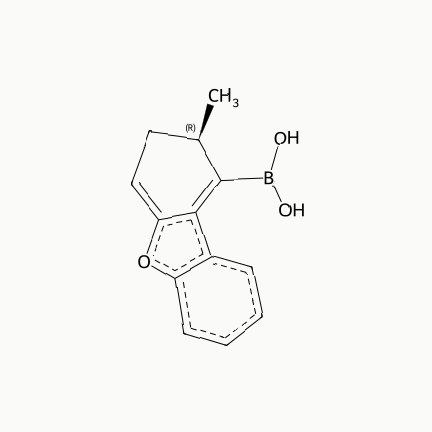 C[C@@H]1CC=c2oc3ccccc3c2=C1B(O)O